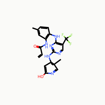 C=CC(=O)Nc1cc(C)ccc1Nc1nc(Nc2cc(O)ncc2C)ncc1C(F)(F)F